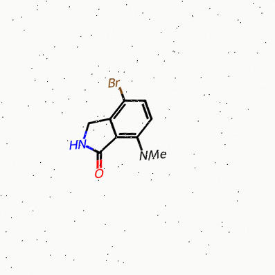 CNc1ccc(Br)c2c1C(=O)NC2